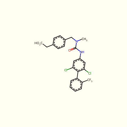 CN(Cc1ccc(CC(=O)O)cc1)C(=O)Nc1cc(Cl)c(-c2ccccc2C(F)(F)F)c(Cl)c1